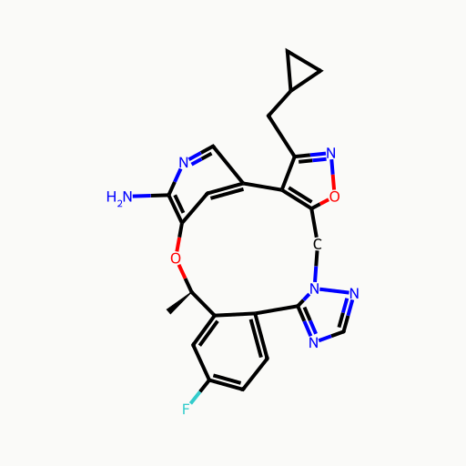 C[C@H]1Oc2cc(cnc2N)-c2c(CC3CC3)noc2Cn2ncnc2-c2ccc(F)cc21